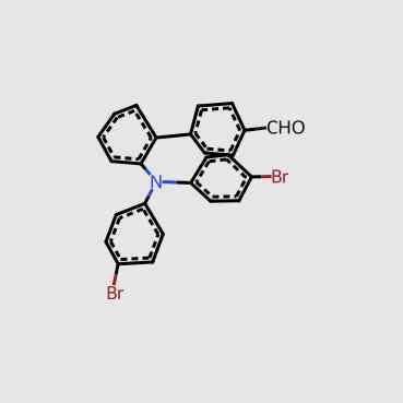 O=Cc1ccc(-c2ccccc2N(c2ccc(Br)cc2)c2ccc(Br)cc2)cc1